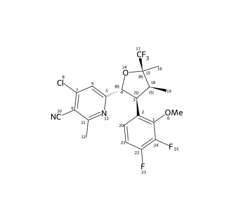 COc1c([C@H]2[C@H](c3cc(Cl)c(C#N)c(C)n3)O[C@@](C)(C(F)(F)F)[C@H]2C)ccc(F)c1F